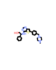 CN1CCN(Cc2ccc(-c3cc4ncnc(NC(CO)c5ccccc5)c4s3)cc2)CC1